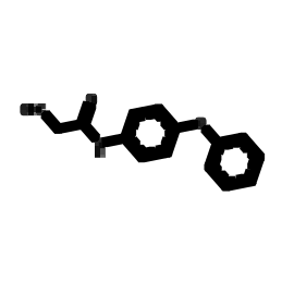 O=CCC(=O)Nc1ccc(Oc2ccccc2)cc1